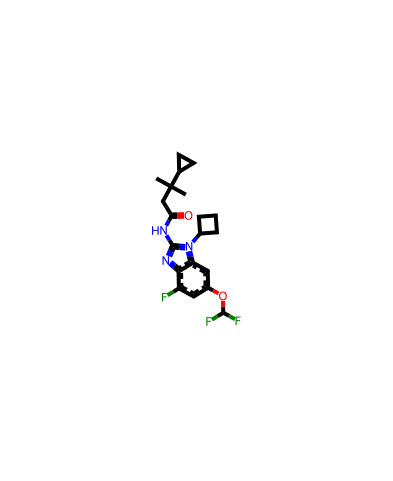 CC(C)(CC(=O)Nc1nc2c(F)cc(OC(F)F)cc2n1C1CCC1)C1CC1